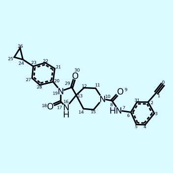 C#Cc1cccc(NC(=O)N2CCC3(CC2)NC(=O)N(c2ccc(C4CC4)cc2)C3=O)c1